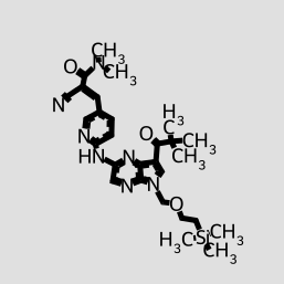 CN(C)C(=O)/C(C#N)=C/c1ccc(Nc2cnc3c(n2)c(C(=O)C(C)(C)C)cn3COCC[Si](C)(C)C)nc1